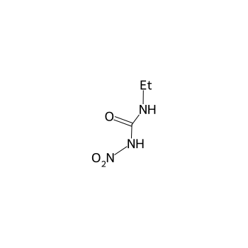 CCNC(=O)N[N+](=O)[O-]